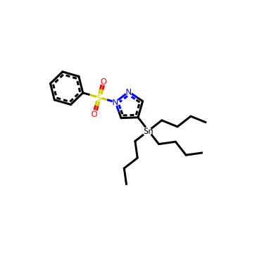 CCC[CH2][Sn]([CH2]CCC)([CH2]CCC)[c]1cnn(S(=O)(=O)c2ccccc2)c1